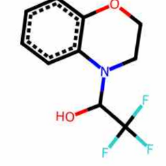 OC(N1CCOc2ccccc21)C(F)(F)F